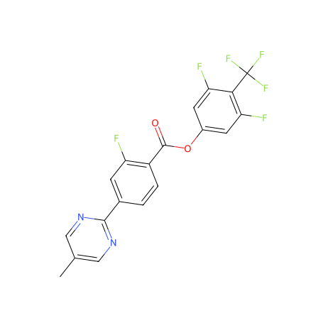 Cc1cnc(-c2ccc(C(=O)Oc3cc(F)c(C(F)(F)F)c(F)c3)c(F)c2)nc1